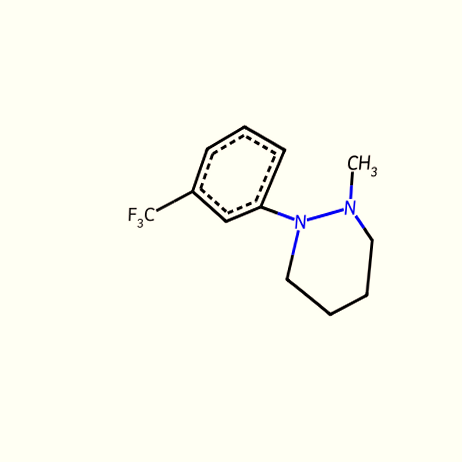 CN1CCCCN1c1cccc(C(F)(F)F)c1